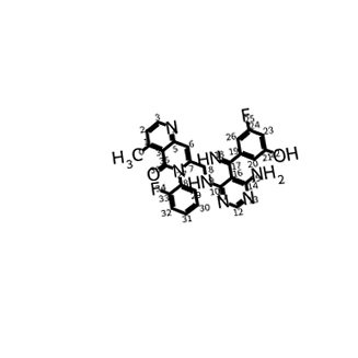 Cc1ccnc2cc(CNc3ncnc(N)c3C(=N)c3cc(O)cc(F)c3)n(-c3ccccc3F)c(=O)c12